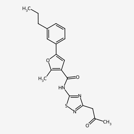 CCCc1cccc(-c2cc(C(=O)Nc3nc(CC(C)=O)ns3)c(C)o2)c1